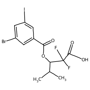 CC(C)C(OC(=O)c1cc(Br)cc(I)c1)C(F)(F)C(=O)O